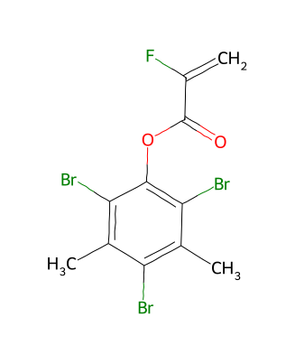 C=C(F)C(=O)Oc1c(Br)c(C)c(Br)c(C)c1Br